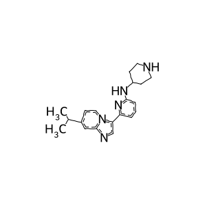 CC(C)c1ccn2c(-c3cccc(NC4CCNCC4)n3)cnc2c1